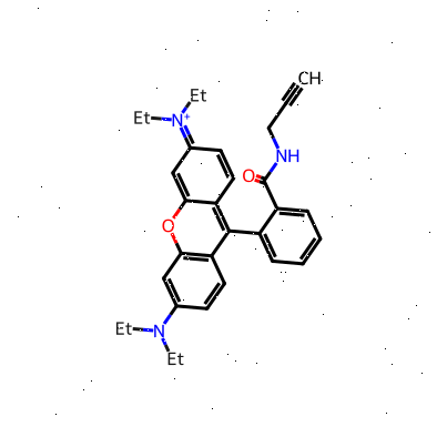 C#CCNC(=O)c1ccccc1-c1c2ccc(=[N+](CC)CC)cc-2oc2cc(N(CC)CC)ccc12